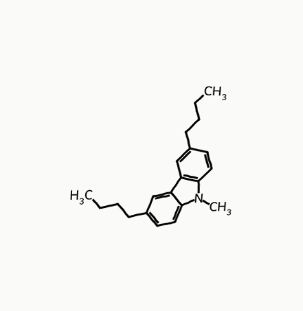 CCCCc1ccc2c(c1)c1cc(CCCC)ccc1n2C